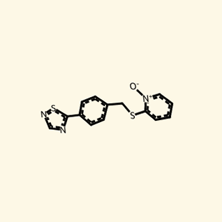 [O-][n+]1ccccc1SCc1ccc(-c2ncns2)cc1